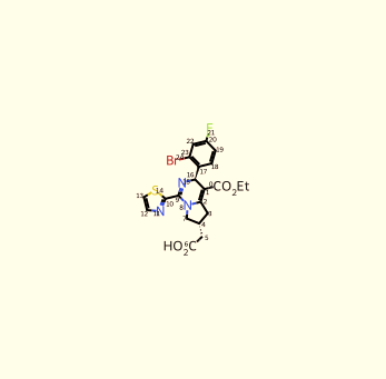 CCOC(=O)C1=C2C[C@H](CC(=O)O)CN2C(c2nccs2)=N[C@H]1c1ccc(F)cc1Br